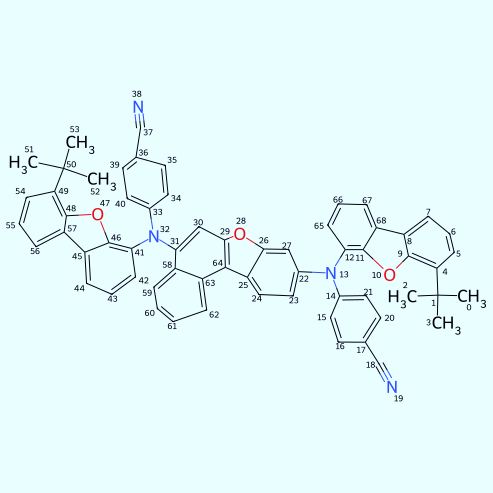 CC(C)(C)c1cccc2c1oc1c(N(c3ccc(C#N)cc3)c3ccc4c(c3)oc3cc(N(c5ccc(C#N)cc5)c5cccc6c5oc5c(C(C)(C)C)cccc56)c5ccccc5c34)cccc12